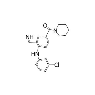 N=Cc1cc(C(=O)N2CCCCC2)ccc1Nc1cccc(Cl)c1